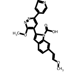 CO/C=C/c1ccc2cc(-c3cc(-c4ccncc4)nnc3OC)n(C(=O)O)c2c1